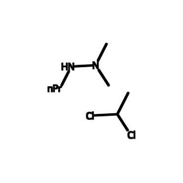 CC(Cl)Cl.CCCNN(C)C